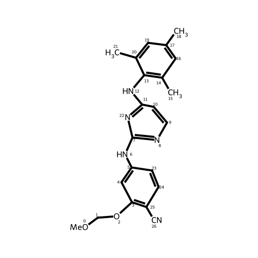 COCOc1cc(Nc2nccc(Nc3c(C)cc(C)cc3C)n2)ccc1C#N